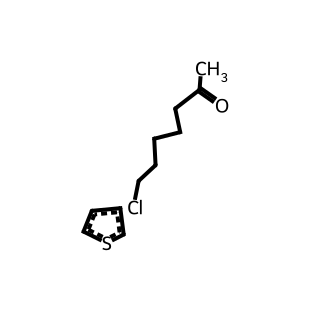 CC(=O)CCCCCCl.c1ccsc1